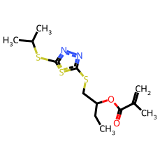 C=C(C)C(=O)OC(CC)CSc1nnc(SC(C)C)s1